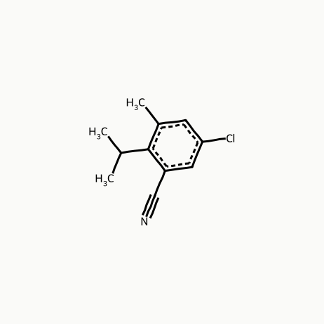 Cc1cc(Cl)cc(C#N)c1C(C)C